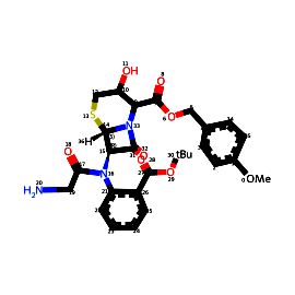 COc1ccc(COC(=O)C2C(O)CS[C@H]3[C@H](N(C(=O)CN)c4ccccc4C(=O)OC(C)(C)C)C(=O)N23)cc1